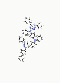 c1ccc(-c2ccc(-c3cc(-c4cccc(-n5c6ccccc6c6cc7c(cc65)c5ccccc5n7-c5nc(-c6ccccc6)nc(-c6ccccc6)n5)c4)cc(-c4ccccc4)n3)cc2)cc1